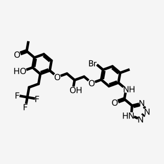 CC(=O)c1ccc(OCC(O)COc2cc(NC(=O)c3nnn[nH]3)c(C)cc2Br)c(CCC(F)(F)F)c1O